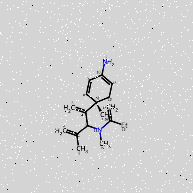 C=C(C)C(C(=C)[C@]1(C)C=CC(N)=CC1)N(C)C(=C)CC